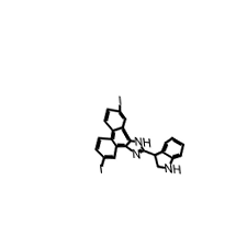 Ic1ccc2c3ccc(I)cc3c3[nH]c(C4CNc5ccccc54)nc3c2c1